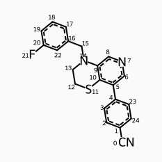 N#Cc1ccc(-c2cncc3c2SCCN3Cc2cccc(F)c2)cc1